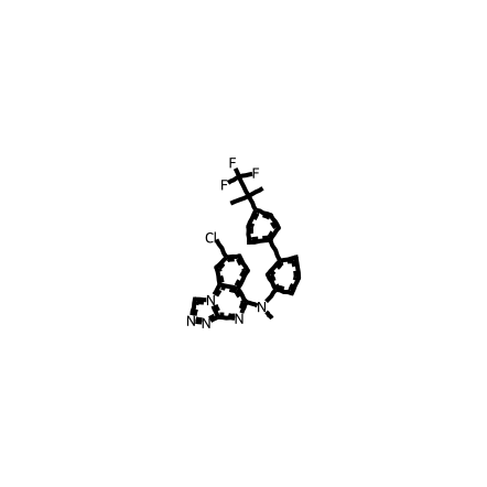 CN(c1cccc(-c2ccc(C(C)(C)C(F)(F)F)cc2)c1)c1nc2nncn2c2cc(Cl)ccc12